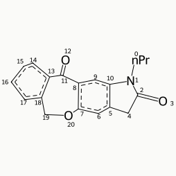 CCCN1C(=O)Cc2cc3c(cc21)C(=O)c1ccccc1CO3